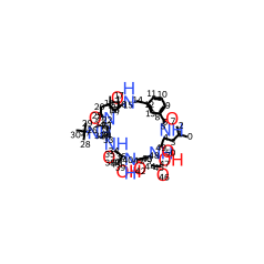 CC(C)CC1NC(=O)c2cccc(c2)CNC(=O)[C@@H]2CCCN2[C@H](C(=O)NC(C)(C)C)[C@H](C)NC(=O)C([C@@H](C)O)NC(=O)[C@@H](CC(=O)O)NC1=O